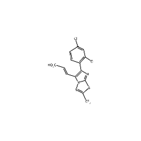 O=C(O)C=Cc1c(-c2ccc(Cl)cc2Cl)nc2sc(C(F)(F)F)nn12